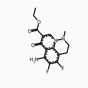 CCOC(=O)c1cn2c3c(c(F)c(F)c(N)c3c1=O)CCN2C